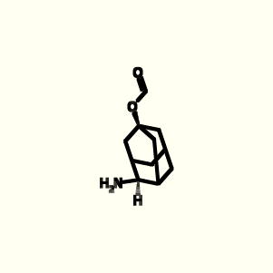 N[C@H]1C2CC3CC1C[C@@](OC=O)(C3)C2